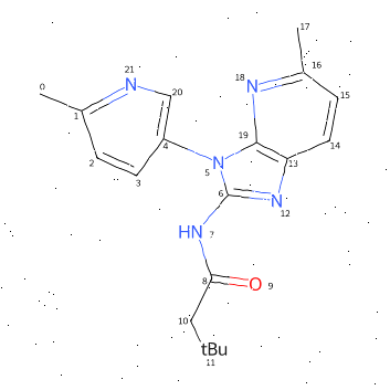 Cc1ccc(-n2c(NC(=O)CC(C)(C)C)nc3ccc(C)nc32)cn1